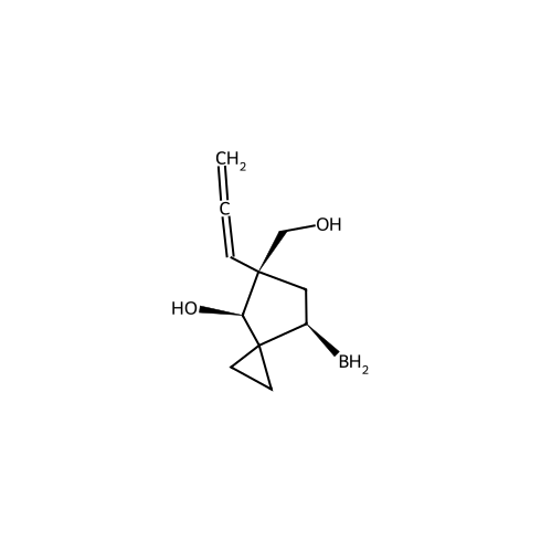 B[C@@H]1C[C@](C=C=C)(CO)[C@H](O)C12CC2